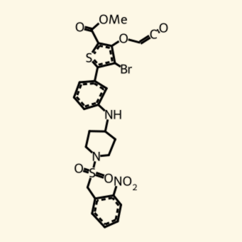 COC(=O)c1sc(-c2cccc(NC3CCN(S(=O)(=O)Cc4ccccc4[N+](=O)[O-])CC3)c2)c(Br)c1OC=C=O